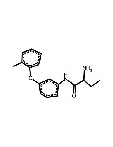 CCC(N)C(=O)Nc1cccc(Oc2ccccc2C)c1